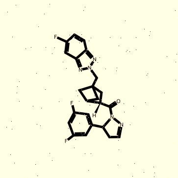 O=C([C@H]1CC2(Cn3nc4ccc(F)cc4n3)CC1C2)N1N=CCC1c1cc(F)cc(F)c1